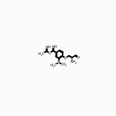 CC(=N)OC(=N)c1ccc(OC[C@H](N)C=O)c(N(C)C)c1